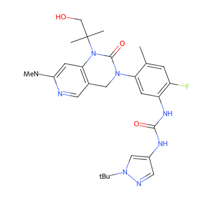 CNc1cc2c(cn1)CN(c1cc(NC(=O)Nc3cnn(C(C)(C)C)c3)c(F)cc1C)C(=O)N2C(C)(C)CO